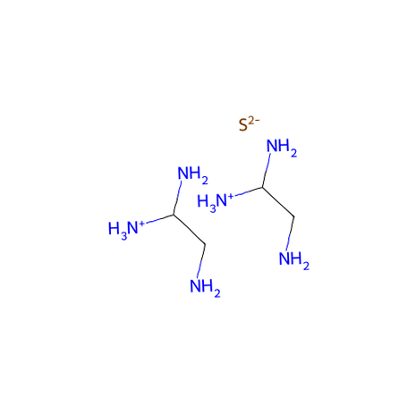 NCC(N)[NH3+].NCC(N)[NH3+].[S-2]